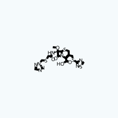 CO[C@@]1(NC(=O)CSCn2ncnn2)C(=O)N2C(C(=O)O)=C(CSc3ncsn3)CSC21